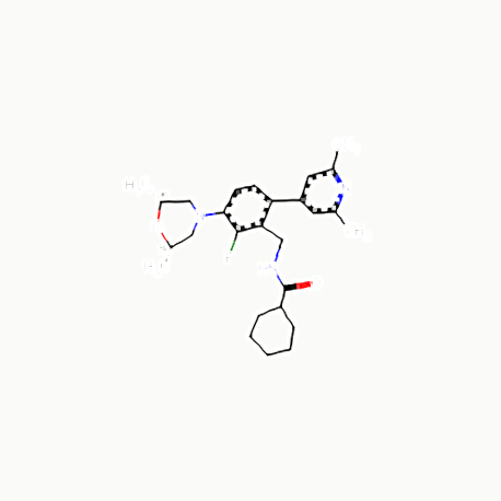 Cc1cc(-c2ccc(N3C[C@@H](C)O[C@@H](C)C3)c(F)c2CNC(=O)C2CCCCC2)cc(C)n1